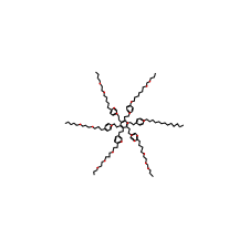 CCCCCCCCCCCCCc1ccc(CCc2c(CCc3ccc(CCCCCCCCCCCCC)cc3)c(CCc3ccc(CCCCCCCCCCCCC)cc3)c(CCc3ccc(CCCCCCCCCCCCC)cc3)c(CCc3ccc(CCCCCCCCCCCCC)cc3)c2CCc2ccc(CCCCCCCCCCCCC)cc2)cc1